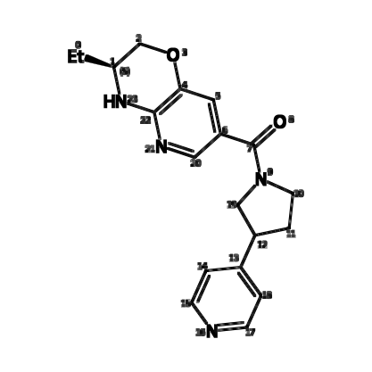 CC[C@H]1COc2cc(C(=O)N3CCC(c4ccncc4)C3)cnc2N1